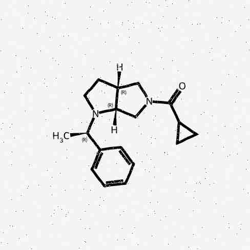 C[C@H](c1ccccc1)N1CC[C@@H]2CN(C(=O)C3CC3)C[C@@H]21